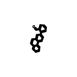 O=Cc1ccccc1-c1ccc2c(ccc3ccccc32)c1